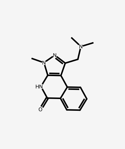 CN(C)Cc1nn(C)c2[nH]c(=O)c3ccccc3c12